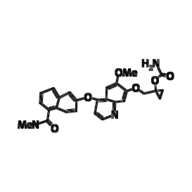 CNC(=O)c1cccc2cc(Oc3ccnc4cc(OCC5(OC(N)=O)CC5)c(OC)cc34)ccc12